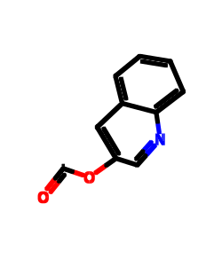 O=[C]Oc1cnc2ccccc2c1